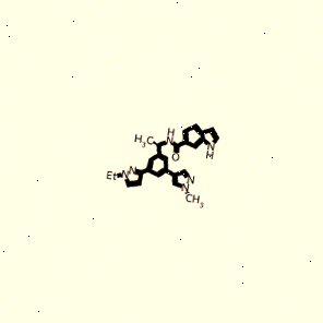 CCn1ccc(-c2cc(-c3cnn(C)c3)cc([C@@H](C)NC(=O)c3ccc4cc[nH]c4c3)c2)n1